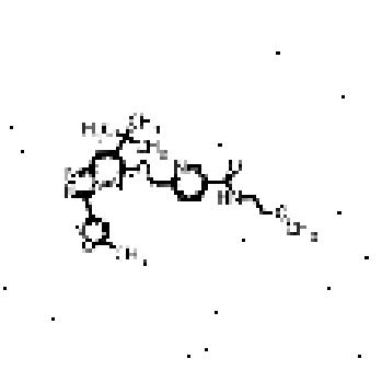 COCCNC(=O)c1ccc(COc2nn3c(-c4cc(C)on4)nnc3cc2C(C)(C)C)nc1